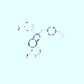 COC(=O)N1c2ccc3c(nc(Cc4ccc(OC(F)F)cc4)n3[C@@H]3CCC[C@@H](C(=O)O)C3)c2CCC1C